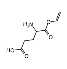 C=COC(=O)C(N)CCC(=O)O